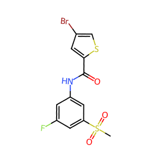 CS(=O)(=O)c1cc(F)cc(NC(=O)c2cc(Br)cs2)c1